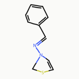 C1=CN(N=Cc2ccccc2)CS1